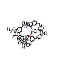 Cc1cc2cc(n1)-c1c(C(F)F)nn(C)c1OCCC[C@@H](C)CN1/C(=N/C2=O)Nc2ccc(CN3CCN(C(=O)[C@@H]4CCN(c5cc(F)c([C@H]6CCC(=O)NC6=O)c(F)c5)C4)CC3)cc21